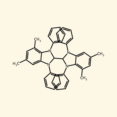 Cc1cc(C)c2c(c1)N(c1ccccc1)C(C1N(c3ccccc3)c3cc(C)cc(C)c3N1c1ccccc1)N2c1ccccc1